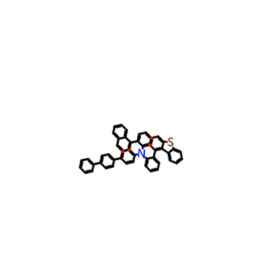 c1ccc(-c2ccc(-c3ccc(N(c4ccccc4-c4cccc5ccccc45)c4ccccc4-c4cccc5sc6ccccc6c45)cc3)cc2)cc1